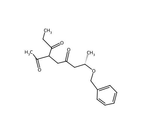 CCC(=O)C(CC(=O)C[C@H](C)OCc1ccccc1)C(C)=O